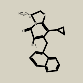 Nc1c(Cc2cccc3ccccc23)c(C2CC2)c2n(c1=O)[C@H](C(=O)O)CS2